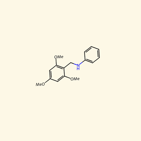 COc1cc(OC)c(CNc2ccccc2)c(OC)c1